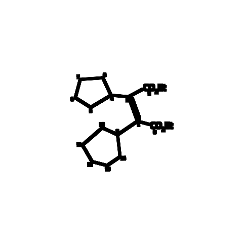 CCOC(=O)C(=C(C(=O)OCC)C1CCCC1)C1CCCCC1